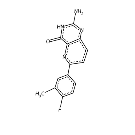 Cc1cc(-c2ccc3nc(N)[nH]c(=O)c3n2)ccc1F